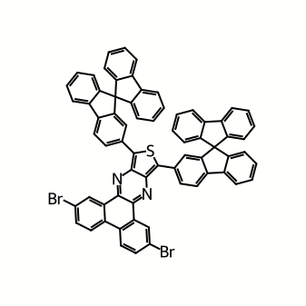 Brc1ccc2c3ccc(Br)cc3c3nc4c(-c5ccc6c(c5)C5(c7ccccc7-c7ccccc75)c5ccccc5-6)sc(-c5ccc6c(c5)C5(c7ccccc7-c7ccccc75)c5ccccc5-6)c4nc3c2c1